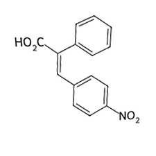 O=C(O)/C(=C/c1ccc([N+](=O)[O-])cc1)c1ccccc1